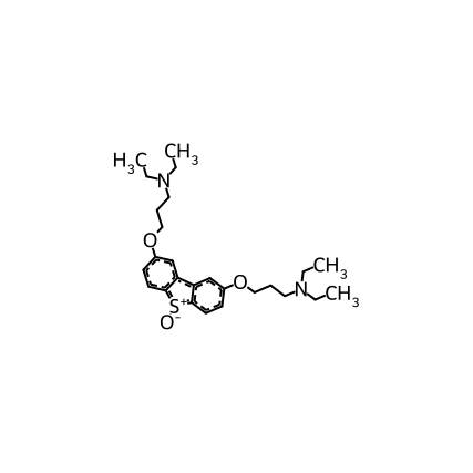 CCN(CC)CCCOc1ccc2c(c1)c1cc(OCCCN(CC)CC)ccc1[s+]2[O-]